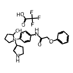 CC1CCC[N+]1(c1ccc(NC(=O)COc2ccccc2)cc1)C1CCNC1.O=C(O)C(F)(F)F